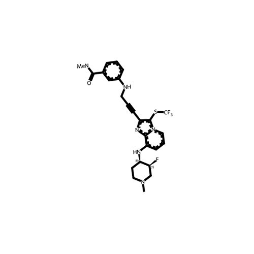 CNC(=O)c1cccc(NCC#Cc2nc3c(N[C@@H]4CCN(C)C[C@@H]4F)cccn3c2SC(F)(F)F)c1